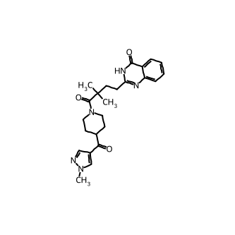 Cn1cc(C(=O)C2CCN(C(=O)C(C)(C)CCc3nc4ccccc4c(=O)[nH]3)CC2)cn1